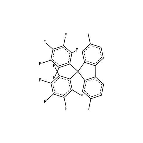 Cc1ccc2c(c1)C(c1c(F)c(F)c(F)c(F)c1F)(c1c(F)c(F)c(F)c(F)c1F)c1cc(C)ccc1-2